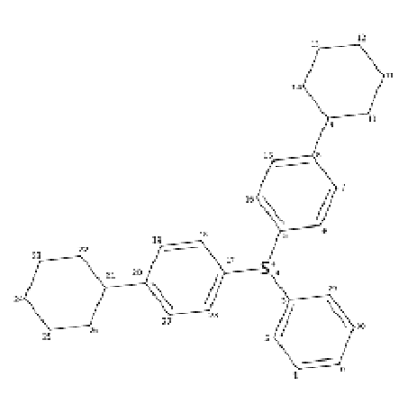 c1ccc([S+](c2ccc(C3CCCCC3)cc2)c2ccc(C3CCCCC3)cc2)cc1